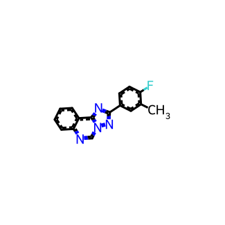 Cc1cc(-c2nc3c4ccccc4ncn3n2)ccc1F